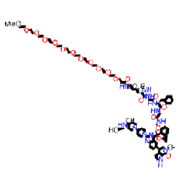 C#CCNC1(C)CCN(C2CCN(c3nc([C@@](COCNC(=O)CNC(=O)[C@H](Cc4ccccc4)NC(=O)CNC(=O)[C@H](CCCCNC(=O)CCOCCOCCOCCOCCOCCOCCOCCOCCOCCOCCOCCOC)NC(=O)O)(OC4CC4)c4ccccc4)c4cc(-c5cn(C)c(=O)c6[nH]ccc56)ccc4n3)CC2)CC1